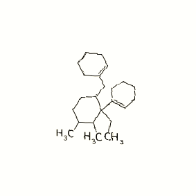 CCC1(C2=CCCCC2)[C](CC2=CCCCC2)CCC(C)C1C